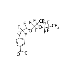 O=C(Cl)c1ccc(OC(F)(F)C(F)OC(F)(F)C(F)(OC(F)(F)C(F)(F)C(F)(F)F)C(F)(F)F)cc1